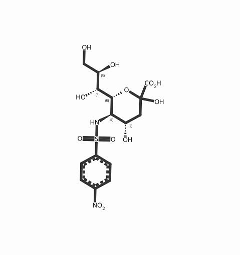 O=C(O)C1(O)C[C@H](O)[C@@H](NS(=O)(=O)c2ccc([N+](=O)[O-])cc2)[C@H]([C@H](O)[C@H](O)CO)O1